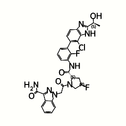 C[C@H](O)c1nc2ccc(-c3cccc(NC(=O)[C@@H]4C[C@@H](F)CN4C(=O)Cn4nc(C(N)=O)c5ccccc54)c3F)c(Cl)c2[nH]1